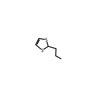 CCCC1SC=CS1